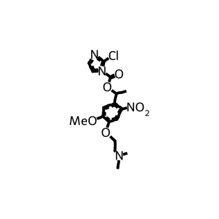 COc1cc(C(C)OC(=O)n2ccnc2Cl)c([N+](=O)[O-])cc1OCCN(C)C